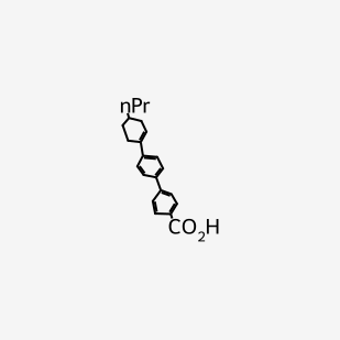 CCCC1CC=C(c2ccc(-c3ccc(C(=O)O)cc3)cc2)CC1